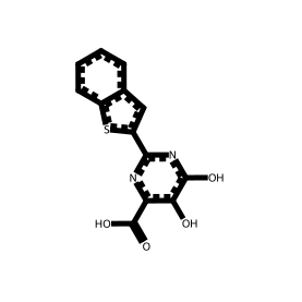 O=C(O)c1nc(-c2cc3ccccc3s2)nc(O)c1O